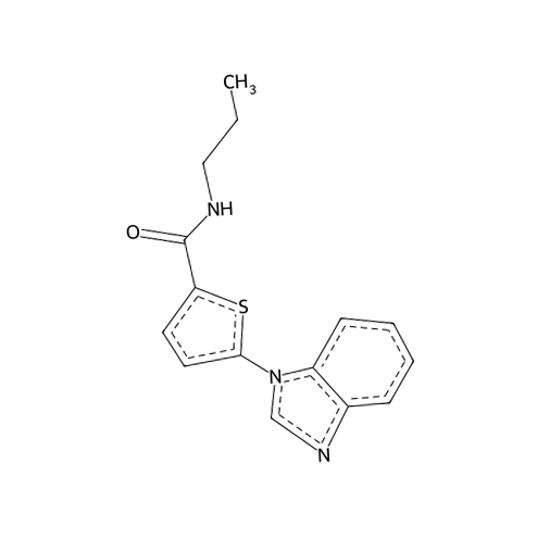 CCCNC(=O)c1ccc(-n2cnc3ccccc32)s1